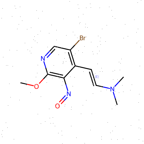 COc1ncc(Br)c(/C=C/N(C)C)c1N=O